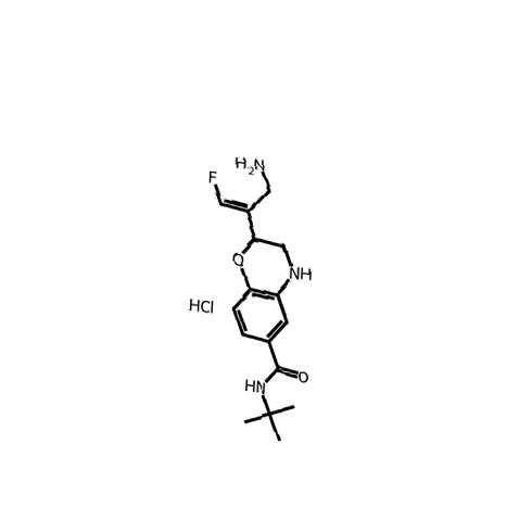 CC(C)(C)NC(=O)c1ccc2c(c1)NCC(C(=CF)CN)O2.Cl